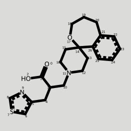 O=C(O)C(Cc1cscn1)CN1CCC2(CC1)OCCCc1ccccc12